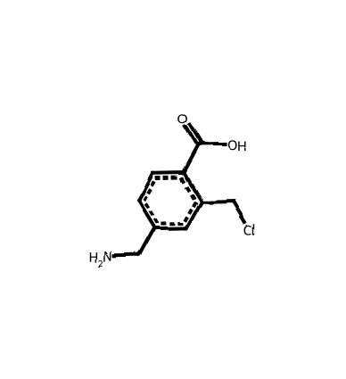 NCc1ccc(C(=O)O)c(CCl)c1